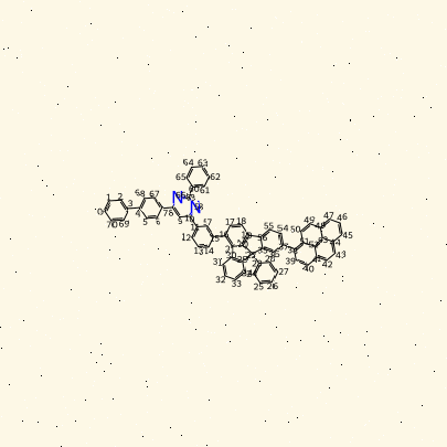 c1ccc(-c2ccc(-c3cc(-c4cccc(-c5ccc6c(c5)C(c5ccccc5)(c5ccccc5)c5cc(-c7ccc8ccc9cccc%10ccc7c8c9%10)ccc5-6)c4)nc(-c4ccccc4)n3)cc2)cc1